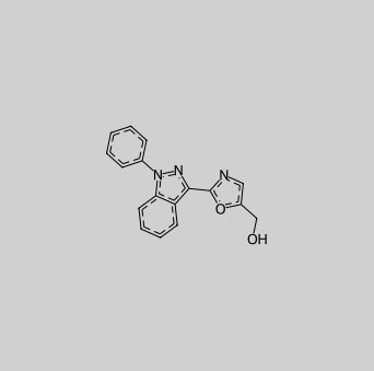 OCc1cnc(-c2nn(-c3ccccc3)c3ccccc23)o1